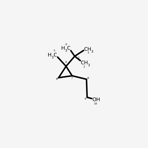 CC(C)(C)C1(C)CC1CCO